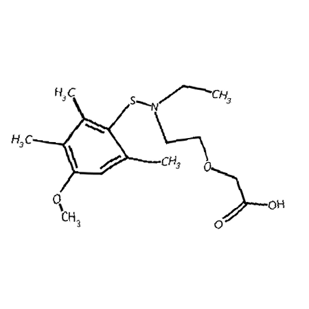 CCN(CCOCC(=O)O)Sc1c(C)cc(OC)c(C)c1C